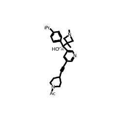 CC(=O)N1CCC(C#Cc2cncc([C@@](O)(c3ccc(C(C)C)cc3)C3(C)CN(C)C3)c2)CC1